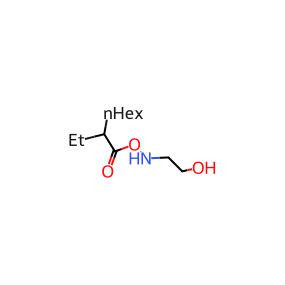 CCCCCCC(CC)C(=O)ONCCO